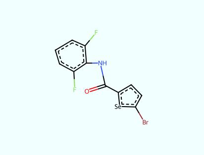 O=C(Nc1c(F)cccc1F)c1ccc(Br)[se]1